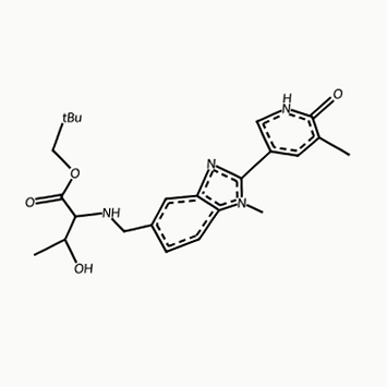 Cc1cc(-c2nc3cc(CNC(C(=O)OCC(C)(C)C)C(C)O)ccc3n2C)c[nH]c1=O